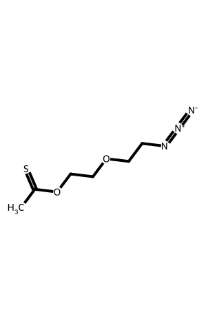 CC(=S)OCCOCCN=[N+]=[N-]